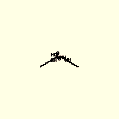 CCCCCCCCCCNCCCNC(=O)C[C@H](NCCCNCCCCCCCCCC)C(=O)O